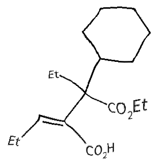 CCC=C(C(=O)O)C(CC)(C(=O)OCC)C1CCCCC1